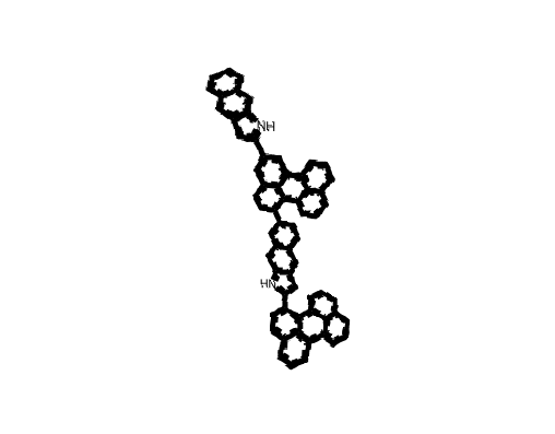 c1ccc2cc3[nH]c(-c4cc5ccc(-c6ccc7cc8cc(-c9ccc%10cccc%11c%12cccc%13cccc(c9c%10%11)c%13%12)[nH]c8cc7c6)c6c7cccc8cccc(c(c4)c56)c87)cc3cc2c1